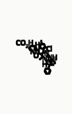 CC1=C(C(=O)Nc2cc(C(=O)O)ccn2)C(c2ccc(C)cc2Cl)N=C(Nc2ncc(-c3ccccc3)o2)N1